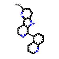 COc1ccc2[nH]c3c(-c4cccc5ncccc45)nccc3c2n1